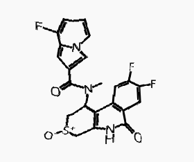 CN(C(=O)c1cc2c(F)cccn2c1)C1C[S+]([O-])Cc2[nH]c(=O)c3cc(F)c(F)cc3c21